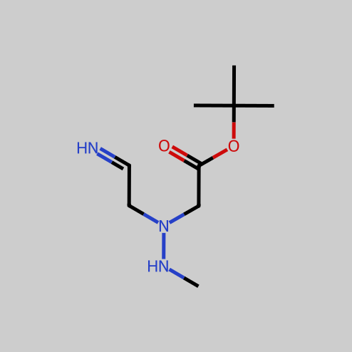 CNN(CC=N)CC(=O)OC(C)(C)C